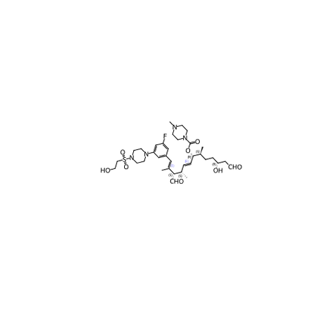 C/C(=C\c1cc(F)cc(N2CCN(S(=O)(=O)CCO)CC2)c1)[C@@H](C=O)[C@@H](C)/C=C/[C@H](OC(=O)N1CCN(C)CC1)[C@@H](C)CC[C@@H](O)CC=O